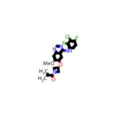 C=C(C)C(=O)N1CC(Oc2cc3c(Nc4ccc(F)c(Cl)c4F)ncnc3cc2OC)C1